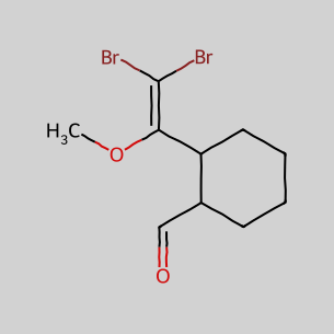 COC(=C(Br)Br)C1CCCCC1C=O